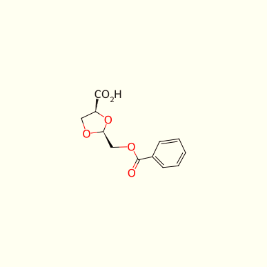 O=C(OC[C@H]1OC[C@@H](C(=O)O)O1)c1ccccc1